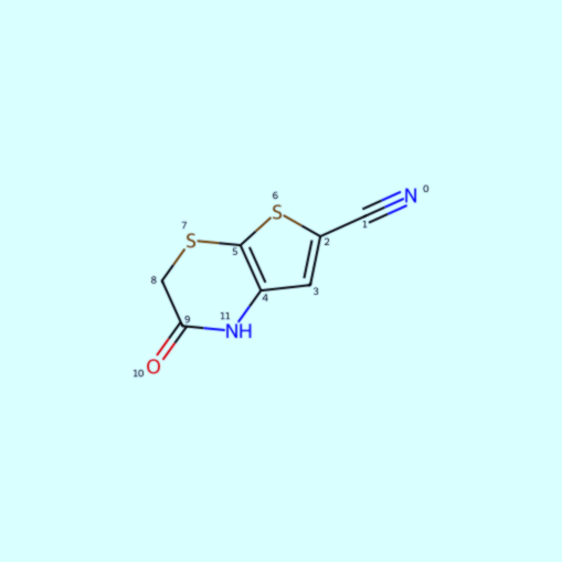 N#Cc1cc2c(s1)SCC(=O)N2